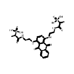 CC(C(=O)NCCNc1ccc(NCCNC(=O)C(C)P(=O)(O)O)c2c1C(=O)c1ccccc1C2=O)P(=O)(O)O